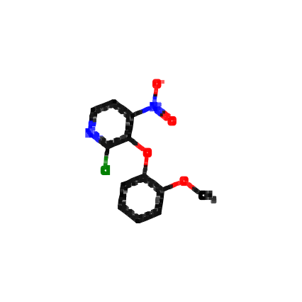 COc1ccccc1Oc1c([N+](=O)[O-])ccnc1Cl